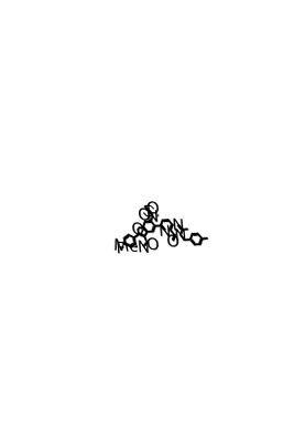 CNC(=O)c1c(-c2ccc(F)cc2)oc2cc(N(C)S(C)(=O)=O)c(-c3ccc4nc(C)n(Cc5ccc(C)cc5)c(=O)c4n3)cc12